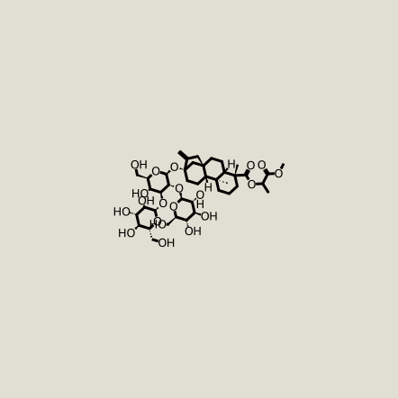 C=C1C[C@@]23CC[C@H]4[C@@](C)(CCC[C@@]4(C)C(=O)OC(C)C(=O)OC)[C@@H]2CC[C@]1(O[C@@H]1O[C@H](CO)[C@@H](O)[C@H](O[C@@H]2O[C@H](CO)[C@@H](O)[C@H](O)[C@H]2O)[C@H]1O[C@@H]1O[C@H](CO)[C@@H](O)[C@H](O)[C@H]1O)C3